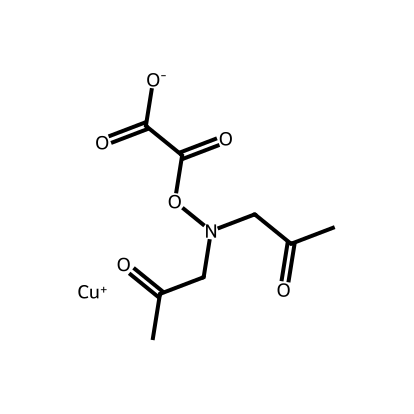 CC(=O)CN(CC(C)=O)OC(=O)C(=O)[O-].[Cu+]